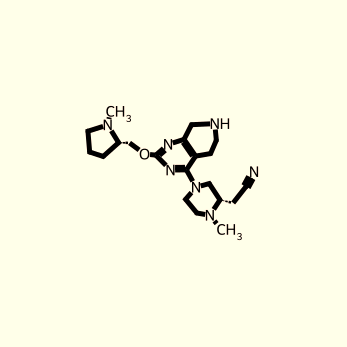 CN1CCC[C@H]1COc1nc2c(c(N3CCN(C)[C@@H](CC#N)C3)n1)CCNC2